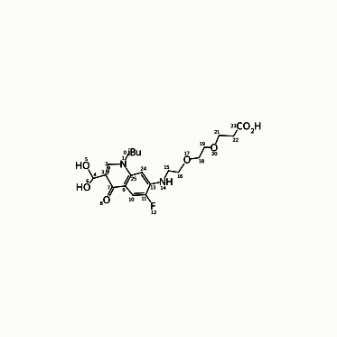 CCC(C)n1cc(C(O)O)c(=O)c2cc(F)c(NCCOCCOCCC(=O)O)cc21